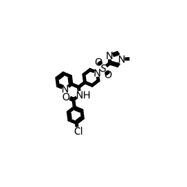 Cn1cnc(S(=O)(=O)N2CCC(C(NC(=O)c3ccc(Cl)cc3)c3ccccn3)CC2)c1